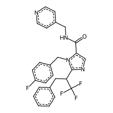 O=C(NCc1ccncc1)c1cnc(C(Cc2ccccc2)C(F)(F)F)n1Cc1ccc(F)cc1